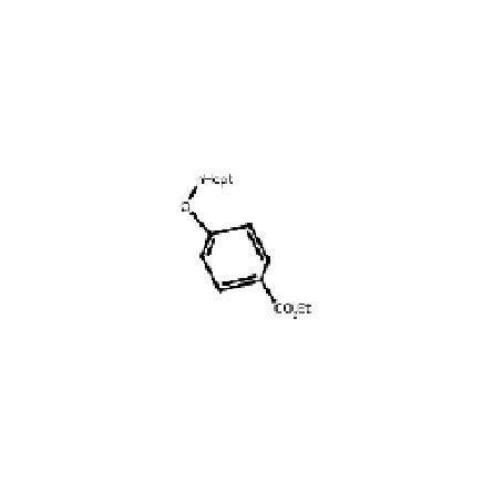 CCCCCCCOc1ccc(C(=O)OCC)cc1